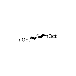 CCCCCCCCC=CSC=CCCCCCCCC